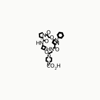 O=C(NCC(=O)N1CCN(C(=O)O)CC1)c1cc(OCC(=O)N2CCC[C@H]2C(=O)NC2CCC2)n(-c2ccccc2)n1